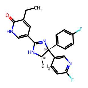 CCc1cc(C2=N[C@@](c3ccc(F)cc3)(c3ccc(F)nc3)[C@H](C)N2)c[nH]c1=O